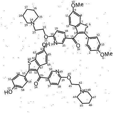 COc1ccc(-c2sc3cc(OC)ccc3c2C(=O)c2ccc(OCCN3CCCCC3)nc2)cc1.O=C(c1ccc(OCCN2CCCCC2)nc1)c1c(-c2ccc(O)cc2)sc2cc(O)ccc12